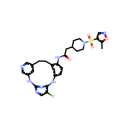 Cc1oncc1S(=O)(=O)N1CCC(CC(=O)Nc2ccc3cc2CCc2cncc(c2)Nc2ncc(Cl)c(n2)N3)CC1